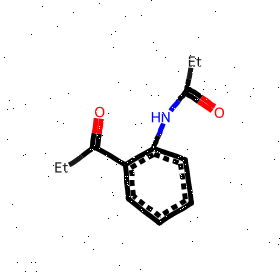 CCC(=O)Nc1ccccc1C(=O)CC